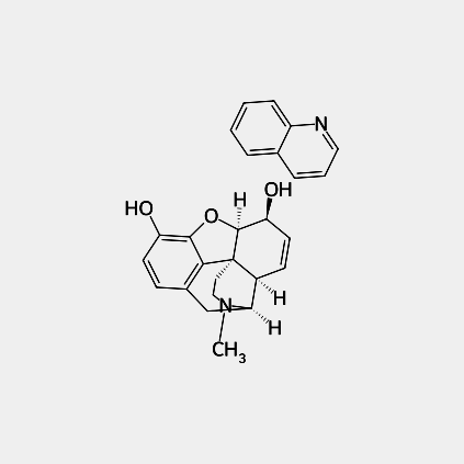 CN1CC[C@]23c4c5ccc(O)c4O[C@H]2[C@@H](O)C=C[C@H]3[C@H]1C5.c1ccc2ncccc2c1